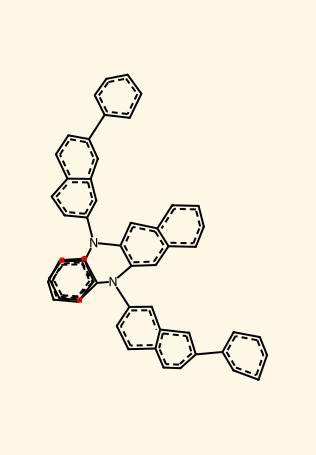 c1ccc(-c2ccc3ccc(N(c4ccccc4)c4cc5ccccc5cc4N(c4ccccc4)c4ccc5ccc(-c6ccccc6)cc5c4)cc3c2)cc1